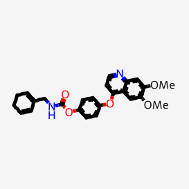 COc1cc2nccc(Oc3ccc(OC(=O)NCC4=CCCC=C4)cc3)c2cc1OC